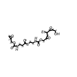 CCC(C1OC1CO)C1OC1COC(=O)NCCSC(=O)CCNC(=O)OCC1CO1